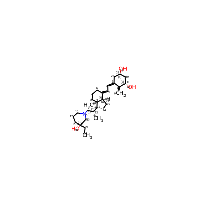 C=C1C(=CC=C2CCC[C@]3(C)[C@@H]([C@H](C)CN4CCCC(O)(CC)C4)CC[C@@H]23)C[C@@H](O)C[C@@H]1O